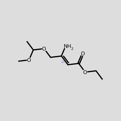 CCOC(=O)/C=C(\N)COC(C)OC